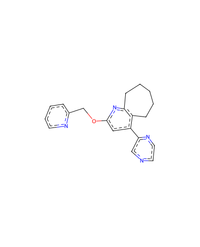 c1ccc(COc2cc(-c3cnccn3)c3c(n2)CCCCC3)nc1